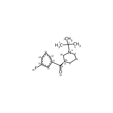 CC(C)(C)N1CCC[C@@H](C(=O)c2cccc(F)c2)C1